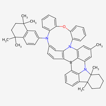 Cc1cc2c3c(c1)N1c4c(cccc4C4(C)CCCCC14C)B3c1ccc3cc1N2c1ccccc1Oc1ccccc1N3c1ccc2c(c1)C(C)(C)CCC2(C)C